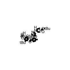 COc1c(NC(=O)c2ccc(C)c(Oc3cc(NC4CCN(C(=O)OC(C)(C)C)CC4)ncn3)c2)cc(C(C)(C)C)cc1NS(C)(=O)=O